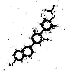 CCc1ccc2cc(-c3cc(F)c(-c4cc(F)c(OC(F)F)c(F)c4)c(F)c3)ccc2c1